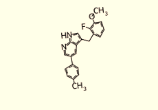 COc1cccc(Cc2c[nH]c3ncc(-c4ccc(C)cc4)cc23)c1F